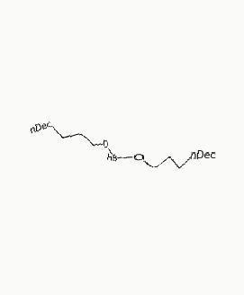 CCCCCCCCCCCCCOBOCCCCCCCCCCCCC